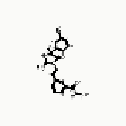 CCCN(CC)C(=O)c1cccc(CCN2C(=N)NC(C)(c3cccc(Br)c3)C2=O)c1